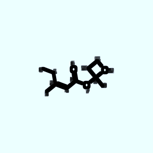 CCC(C)=CC(=O)OC1(C)CCO1